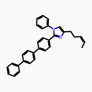 C/C=C\CCc1cn(-c2ccccc2)c(-c2ccc(-c3ccc(-c4ccccc4)cc3)cc2)n1